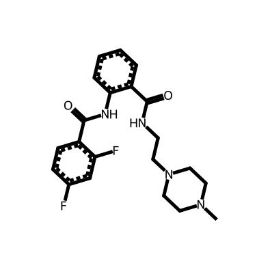 CN1CCN(CCNC(=O)c2ccccc2NC(=O)c2ccc(F)cc2F)CC1